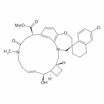 COC(=O)[C@@H]1CC(=O)N(C)CC/C=C/[C@H](O)[C@@H]2CC[C@H]2CN2C[C@@]3(CCCc4cc(Cl)ccc43)COc3ccc1cc32